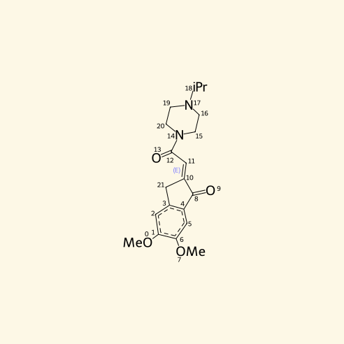 COc1cc2c(cc1OC)C(=O)/C(=C/C(=O)N1CCN(C(C)C)CC1)C2